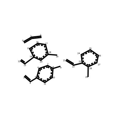 C=C=C.C=Cc1ccc(C)cc1.C=Cc1cccc(C)c1.C=Cc1ccccc1C